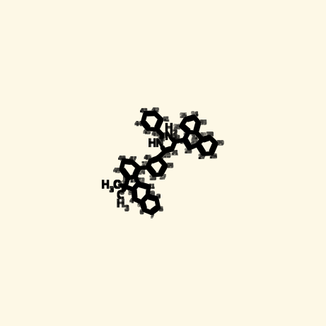 CC1(C)c2cc3ccccc3cc2-c2c(-c3cccc(/C(=C/C(N)c4cc5ccccc5c5ccccc45)NCc4ccccc4)c3)cccc21